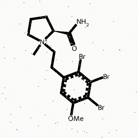 COc1cc(CC[N+]2(C)CCC[C@H]2C(N)=O)c(Br)c(Br)c1Br